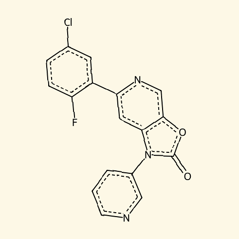 O=c1oc2cnc(-c3cc(Cl)ccc3F)cc2n1-c1cccnc1